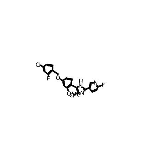 COc1cc(OCc2ccc(Cl)cc2F)ccc1-c1[nH]c(-c2ccc(F)nc2)nc1Cl